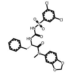 CN(C(=O)[C@H](Cc1ccccc1)NC(=O)NS(=O)(=O)c1cc(Cl)cc(Cl)c1)c1ccc2c(c1)OCO2